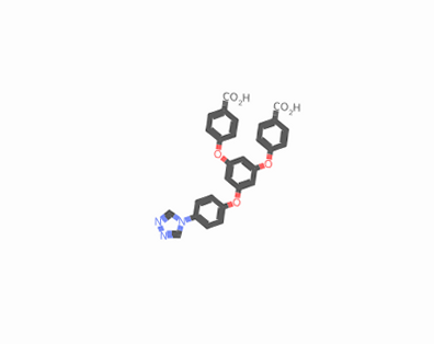 O=C(O)c1ccc(Oc2cc(Oc3ccc(C(=O)O)cc3)cc(Oc3ccc(-n4cnnc4)cc3)c2)cc1